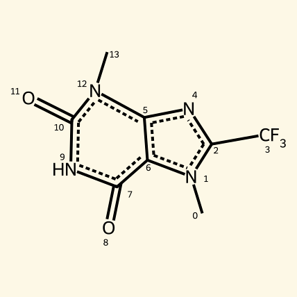 Cn1c(C(F)(F)F)nc2c1c(=O)[nH]c(=O)n2C